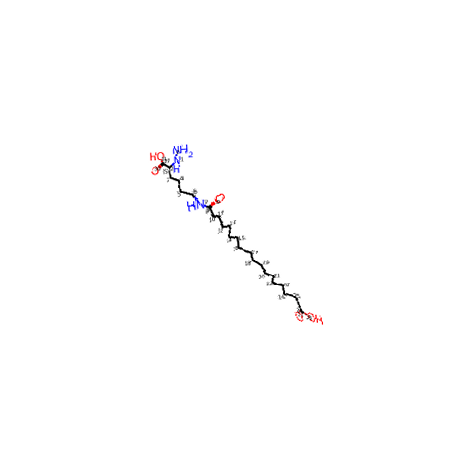 NN[C@@H](CCCCNC(=O)CCCCCCCCCCCCCCCCC(=O)O)C(=O)O